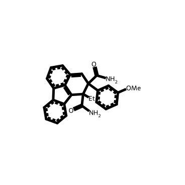 CCC1(C(N)=O)C2=c3c(cccc3=CC1(C(N)=O)c1cccc(OC)c1)-c1ccccc12